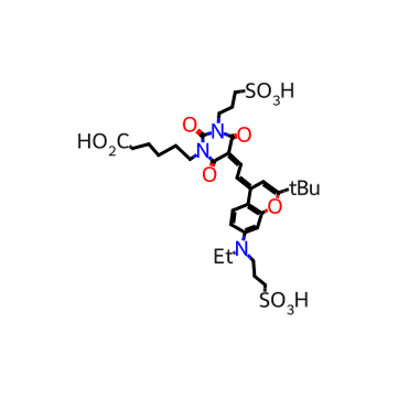 CCN(CCCS(=O)(=O)O)c1ccc2c(c1)OC(C(C)(C)C)=C/C2=C\C=C1/C(=O)N(CCCCCC(=O)O)C(=O)N(CCCS(=O)(=O)O)C1=O